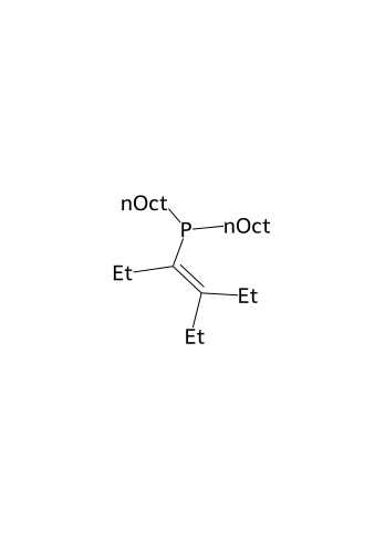 CCCCCCCCP(CCCCCCCC)C(CC)=C(CC)CC